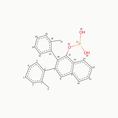 Cc1ccccc1-c1cc2ccccc2c(OP(O)O)c1-c1ccccc1C